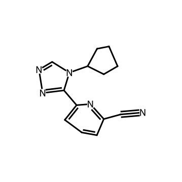 N#Cc1cccc(-c2nncn2C2CCCC2)n1